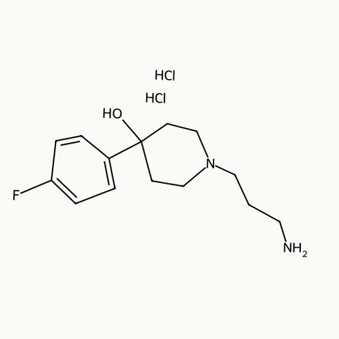 Cl.Cl.NCCCN1CCC(O)(c2ccc(F)cc2)CC1